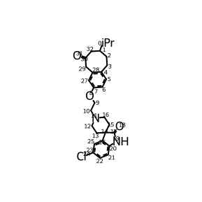 CC(C)C1CCc2ccc(OCCN3CCC4(CC3)C(=O)Nc3ccc(Cl)cc34)cc2CC(=O)C1